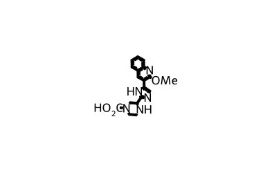 COc1nc2ccccc2cc1-c1cnc(C2CN(C(=O)O)CCN2)[nH]1